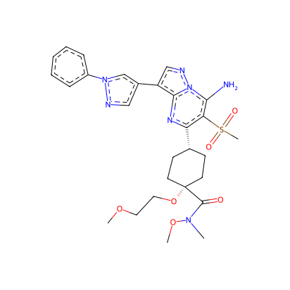 COCCO[C@]1(C(=O)N(C)OC)CC[C@H](c2nc3c(-c4cnn(-c5ccccc5)c4)cnn3c(N)c2S(C)(=O)=O)CC1